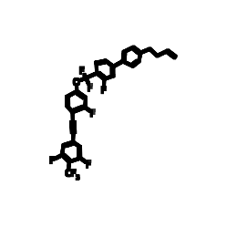 C=CCCc1ccc(-c2ccc(C(F)(F)Oc3ccc(C#Cc4cc(F)c(C(F)(F)F)c(F)c4)c(F)c3)c(F)c2)cc1